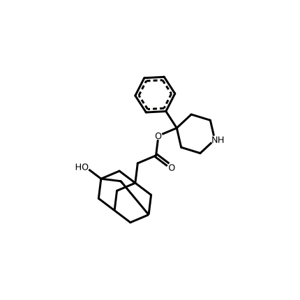 O=C(CC12CC3CC(CC(O)(C3)C1)C2)OC1(c2ccccc2)CCNCC1